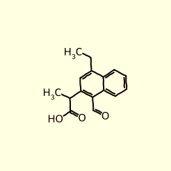 CCc1cc(C(C)C(=O)O)c(C=O)c2ccccc12